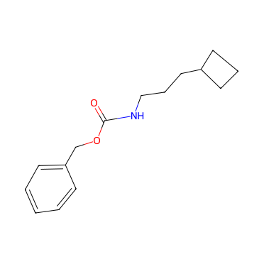 O=C(NCCCC1CCC1)OCc1ccccc1